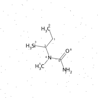 CCC([SiH3])N(C)C(N)=O